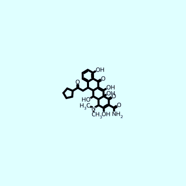 CN(C)C1C(O)=C(C(N)=O)C(=O)C2(O)C(O)=C3C(=O)c4c(O)cccc4C(CC(=O)C4CCCC4)C3C(O)C12